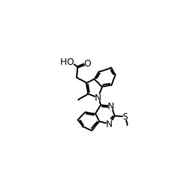 CSc1nc(-n2c(C)c(CC(=O)O)c3ccccc32)c2ccccc2n1